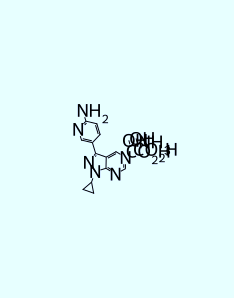 N.Nc1ccc(-c2nn(C3CC3)c3ncncc23)cn1.O=C(O)O.O=C(O)O